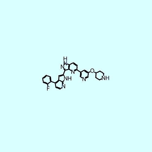 Fc1ccccc1-c1ccnc2[nH]c(-c3n[nH]c4ccc(-c5cncc(OC6CCNCC6)c5)nc34)cc12